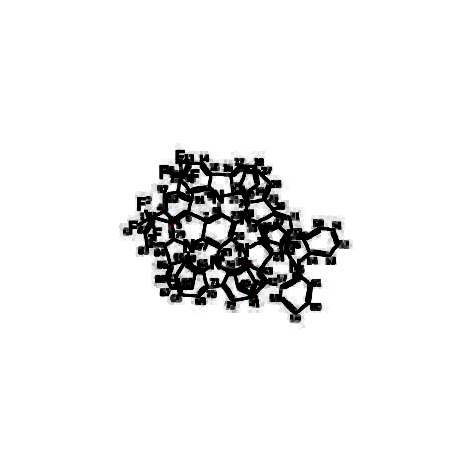 FC(F)(F)c1cc(-c2c(-n3c4ccccc4c4ccccc43)c(-n3c4ccccc4c4ccccc43)c(-n3c4ccccc4c4c3ccc3c5ccccc5n(-c5ccccc5)c34)c(-n3c4ccccc4c4ccccc43)c2-n2c3ccccc3c3ccccc32)cc(C(F)(F)F)c1